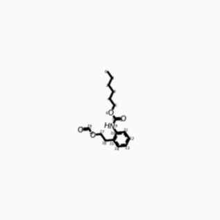 CCCCCCOC(=O)Nc1ccccc1CCO[C]=O